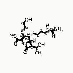 C[C@@H](O)[C@H]1C(=O)N2C(C(=O)O)=C(SCCO)[C@H](CCCCNC(=N)N)[C@H]12